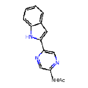 CC(=O)Nc1cnc(-c2cc3ccccc3[nH]2)cn1